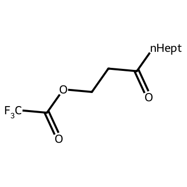 CCCCCCCC(=O)CCOC(=O)C(F)(F)F